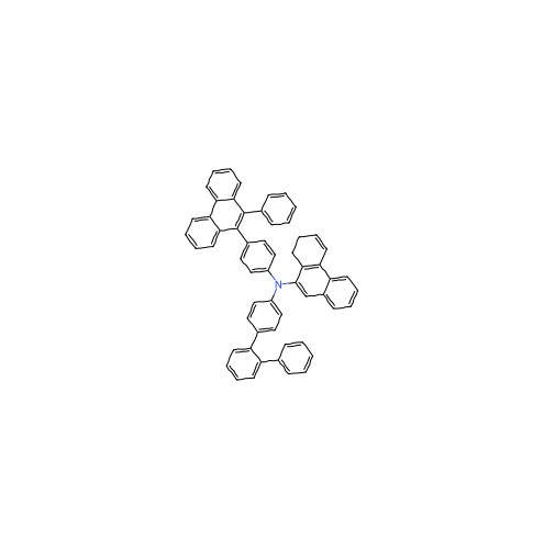 C1=Cc2c(c(N(c3ccc(-c4ccccc4-c4ccccc4)cc3)c3ccc(-c4c(-c5ccccc5)c5ccccc5c5ccccc45)cc3)cc3ccccc23)CC1